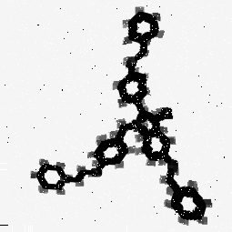 Clc1c(-c2ccc(OCc3ccccc3)cc2)n(Cc2ccc(OCCN3CCCCC3)cc2)c2ccc(OCc3ccccc3)cc12